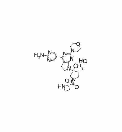 C[C@]1(N2CCc3c(-c4cnc(N)nc4)nc(N4CCOCC4)nc32)CCN(C(=O)[C@@]2(C)CCN2)C1.Cl